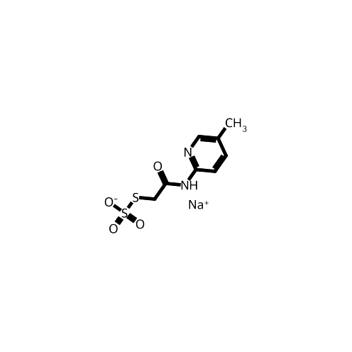 Cc1ccc(NC(=O)CSS(=O)(=O)[O-])nc1.[Na+]